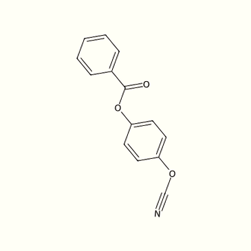 N#COc1ccc(OC(=O)c2ccccc2)cc1